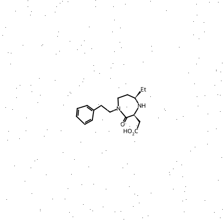 CC[C@@H]1CCN(CCc2ccccc2)C(=O)[C@H](CC(=O)O)N1